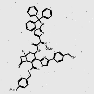 CON=C(C(=O)NC1S[C@H]2CC(=S)N2C(C(=O)OCc2ccc(OC)cc2)=C1c1nc(-c2ccc(CO)cc2)cs1)c1csc(NC(c2ccccc2)(c2ccccc2)c2ccccc2)n1